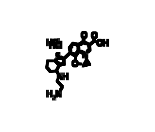 COc1c(-c2cc3c(s2)CCCC3NCCN)ccc2c(=O)c(C(=O)O)cn(C3CC3)c12.Cl.Cl